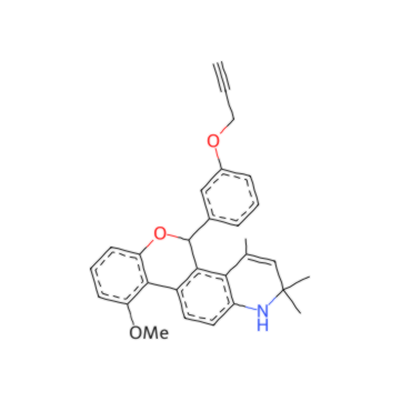 C#CCOc1cccc(C2Oc3cccc(OC)c3-c3ccc4c(c32)C(C)=CC(C)(C)N4)c1